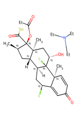 CCC(=O)O[C@]1(C(=O)S)[C@H](C)C[C@H]2[C@@H]3C[C@H](F)C4=CC(=O)C=C[C@]4(C)[C@@]3(F)[C@@H](O)C[C@@]21C.CCN(CC)CC